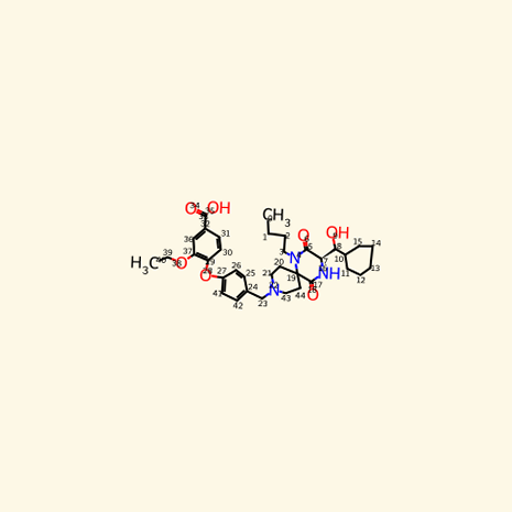 CCCCN1C(=O)[C@@H](C(O)C2CCCCC2)NC(=O)C12CCN(Cc1ccc(Oc3ccc(C(=O)O)cc3OCC)cc1)CC2